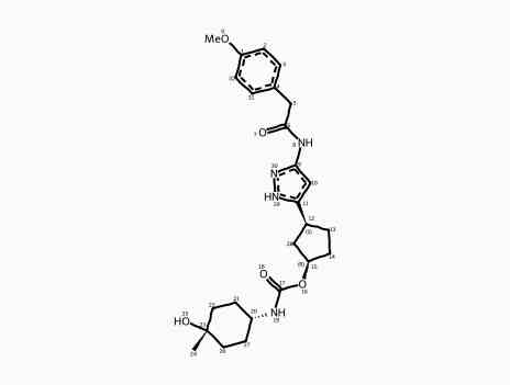 COc1ccc(CC(=O)Nc2cc([C@H]3CC[C@@H](OC(=O)N[C@H]4CC[C@@](C)(O)CC4)C3)[nH]n2)cc1